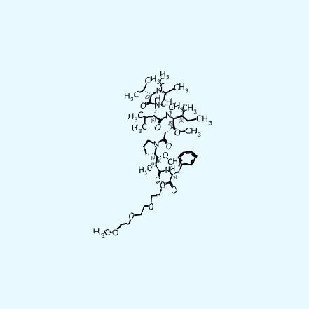 CC[C@H](C)[C@@H]([C@@H](CC(=O)N1CCC[C@H]1[C@H](OC)[C@@H](C)C(=O)N[C@@H](Cc1ccccc1)C(=O)OCCOCCOCCOC)OC)N(C)C(=O)[C@@H](NC(=O)[C@H](C(C)C)N(C)C(C)C)C(C)C